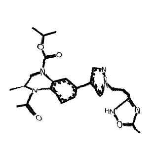 CC(=O)N1c2ccc(-c3cnn(CC4=NC(C)ON4)c3)cc2N(C(=O)OC(C)C)C[C@@H]1C